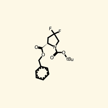 CC(C)(C)OC(=O)N1CC(F)(F)C[C@H]1C(=O)OCc1ccccc1